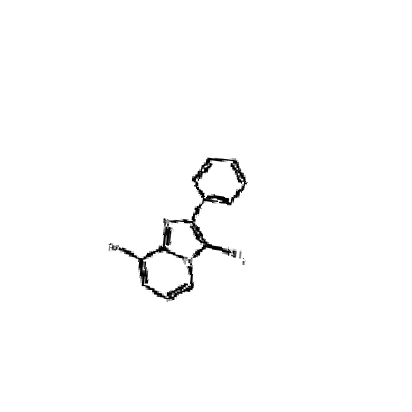 Nc1c(-c2ccccc2)nc2c(Br)cccn12